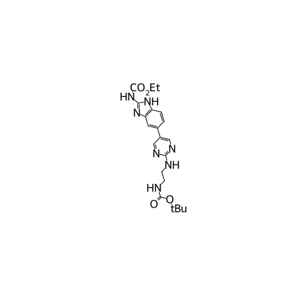 CCOC(=O)Nc1nc2cc(-c3cnc(NCCNC(=O)OC(C)(C)C)nc3)ccc2[nH]1